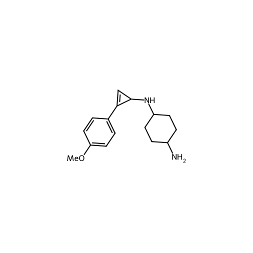 COc1ccc(C2=CC2NC2CCC(N)CC2)cc1